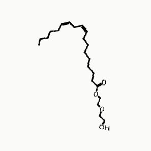 CCCCC/C=C\C/C=C\CCCCCCCC(=O)OCCOCCO